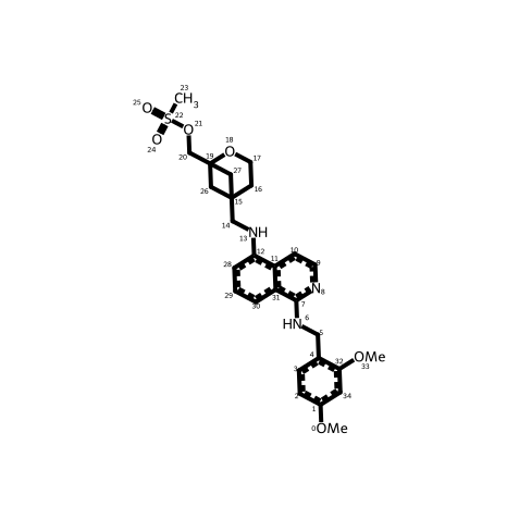 COc1ccc(CNc2nccc3c(NCC45CCOC(COS(C)(=O)=O)(C4)C5)cccc23)c(OC)c1